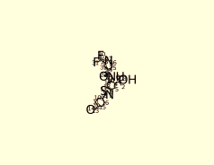 CC(C)(O)c1cc2nc(C3CCC(C=O)CC3)sc2cc1NC(=O)c1ccnc(C(F)F)c1